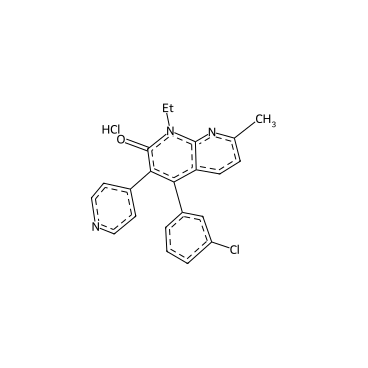 CCn1c(=O)c(-c2ccncc2)c(-c2cccc(Cl)c2)c2ccc(C)nc21.Cl